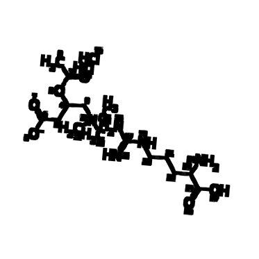 CC(=O)OC(CC(=O)[O-])C[N+](C)(C)C.Cl.Cl.N=C(N)NCCCC(N)C(=O)O